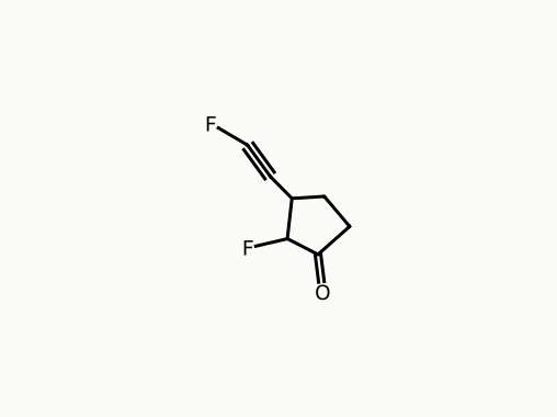 O=C1CCC(C#CF)C1F